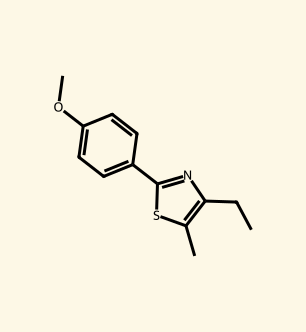 CCc1nc(-c2ccc(OC)cc2)sc1C